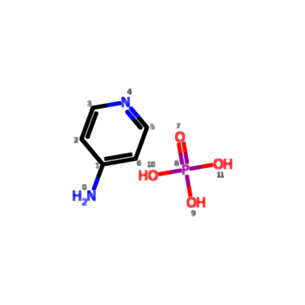 Nc1ccncc1.O=P(O)(O)O